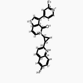 O=c1c2c(-c3ccnc(F)c3)csc2ccn1C1CC1c1ccc2cc(F)ccc2n1